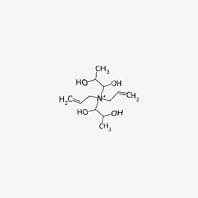 C=CC[N+](CC=C)(C(O)C(C)O)C(O)C(C)O